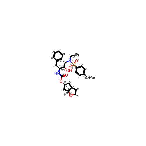 COc1ccc(S(=O)(=O)N(CC(C)C)C[C@@H](O)[C@H](Cc2ccccc2)NC(=O)O[C@@H]2CC3CCO[C@@H]3C2)cc1